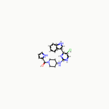 O=C(c1ccc[nH]1)N1CCC(Nc2ncc(Cl)c(-c3c[nH]c4ccccc34)n2)CC1